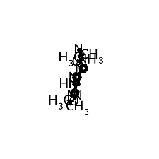 CC(C)Oc1ncc(-c2cc3cc(-c4cccc(C(=O)NC(C)(C)C#N)n4)cnc3[nH]2)cn1